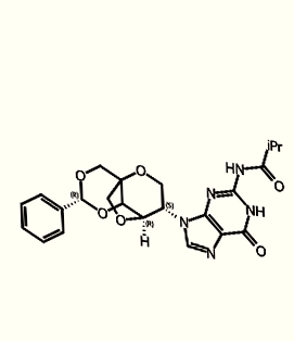 CC(C)C(=O)Nc1nc2c(ncn2[C@H]2COC34CO[C@@H](c5ccccc5)OC3[C@@H]2OC4)c(=O)[nH]1